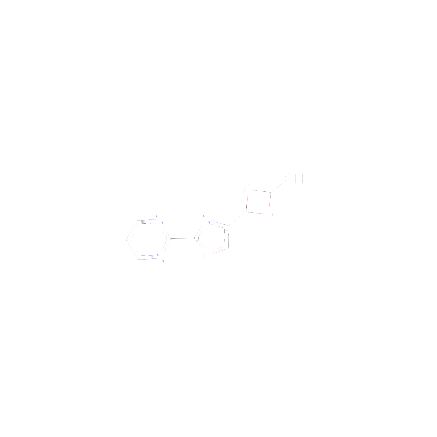 CC1OC(c2coc(-c3ncccn3)n2)O1